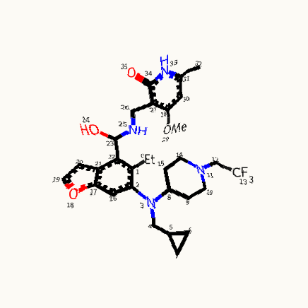 CCc1c(N(CC2CC2)C2CCN(CC(F)(F)F)CC2)cc2occc2c1C(O)NCc1c(OC)cc(C)[nH]c1=O